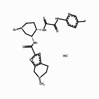 CC(=O)N1CC[C@H](NC(=S)C(=O)Nc2ccc(F)cn2)[C@H](NC(=O)c2nc3c(s2)CN(C)CC3)C1.Cl